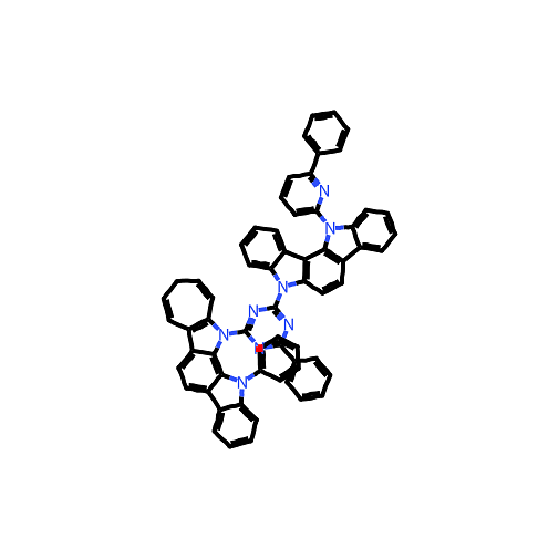 C1=Cc2c(n(-c3nc(-c4ccccc4)nc(-n4c5ccccc5c5c4ccc4c6ccccc6n(-c6cccc(-c7ccccc7)n6)c45)n3)c3c2ccc2c4ccccc4n(-c4ccccc4)c23)C=CC1